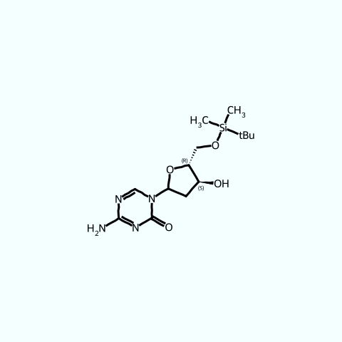 CC(C)(C)[Si](C)(C)OC[C@H]1OC(n2cnc(N)nc2=O)C[C@@H]1O